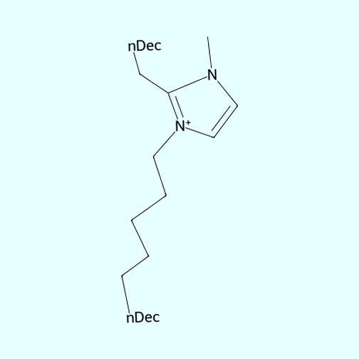 CCCCCCCCCCCCCCC[n+]1ccn(C)c1CCCCCCCCCCC